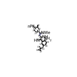 C=C1CN(/C(=C/C(=N)C(=N)c2cc(CC3(C)CC3)ccc2N)NC)CCN1CCC